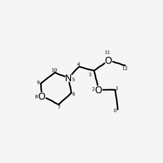 CCOC(CN1CCOCC1)OC